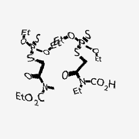 CCOC(=O)N(C)C(=O)CSP(=S)(OCC)OCC.CCOP(=S)(OCC)SCC(=O)N(CC)C(=O)O